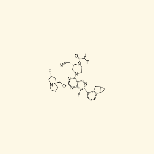 C=C(F)C(=O)N1CCN(c2nc(OC[C@@]34CCCN3C[C@H](F)C4)nc3c(F)c(-c4cccc5c4CC4CC54)ncc23)C[C@@H]1CC#N